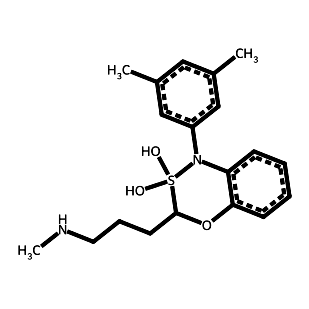 CNCCCC1Oc2ccccc2N(c2cc(C)cc(C)c2)S1(O)O